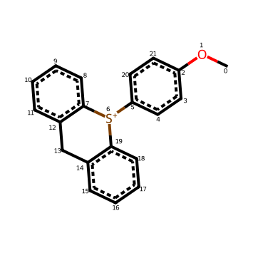 COc1ccc([S+]2c3ccccc3Cc3ccccc32)cc1